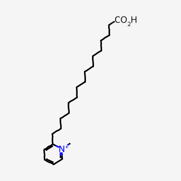 C[n+]1ccccc1CCCCCCCCCCCCCCCC(=O)O